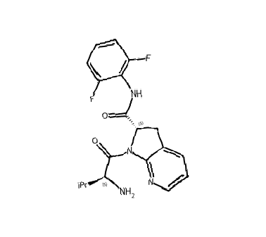 CC(C)[C@H](N)C(=O)N1c2ncccc2C[C@H]1C(=O)Nc1c(F)cccc1F